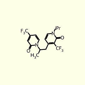 CC(C)n1ccc(CC(C)n2ccc(C(F)(F)F)cc2=O)c(C(F)(F)F)c1=O